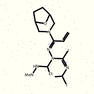 C=C/C(=N\N(/C(I)=N\C(C)I)C(CC)NNC)N1CC2CCC(C1)O2